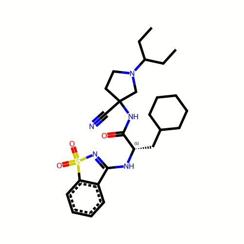 CCC(CC)N1CCC(C#N)(NC(=O)[C@H](CC2CCCCC2)NC2=NS(=O)(=O)c3ccccc32)C1